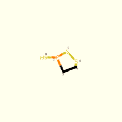 SP1CCSS1